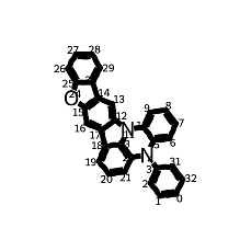 c1ccc(N2c3ccccc3-n3c4cc5c(cc4c4cccc2c43)oc2ccccc25)cc1